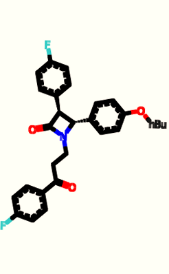 CCCCOc1ccc([C@H]2[C@H](c3ccc(F)cc3)C(=O)N2CCC(=O)c2ccc(F)cc2)cc1